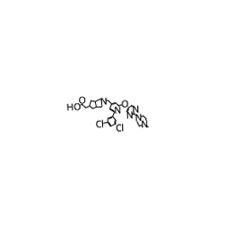 CN1CCN(c2ncc(Oc3cc(CN4CC5CC(CC(=O)O)CC5C4)cc(-c4cc(Cl)cc(Cl)c4)n3)cn2)CC1